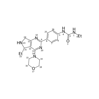 CCNC(=O)Nc1ccc(-c2nc3c(c(N4CCOCC4)n2)C(CC)NC3)cc1